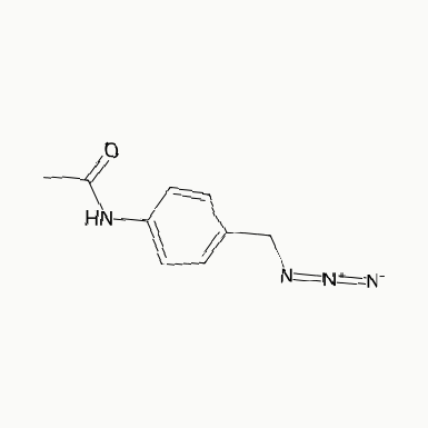 CC(=O)Nc1ccc(CN=[N+]=[N-])cc1